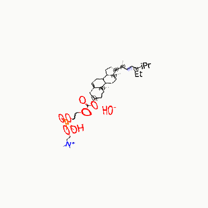 CC[C@H](/C=C/[C@@H](C)[C@H]1CCC2C3CC=C4C[C@@H](OC(=O)OCCOP(=O)(O)OCC[N+](C)(C)C)CC[C@]4(C)C3CC[C@@]21C)C(C)C.[OH-]